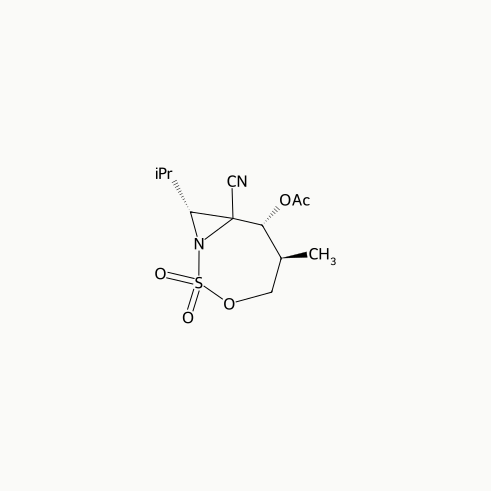 CC(=O)O[C@@H]1[C@@H](C)COS(=O)(=O)N2[C@H](C(C)C)C12C#N